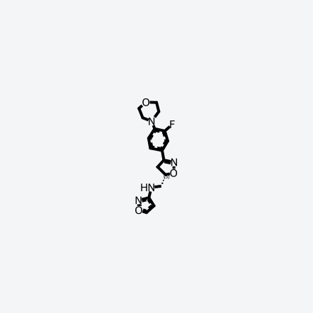 Fc1cc(C2=NO[C@H](CNc3ccon3)C2)ccc1N1CCOCC1